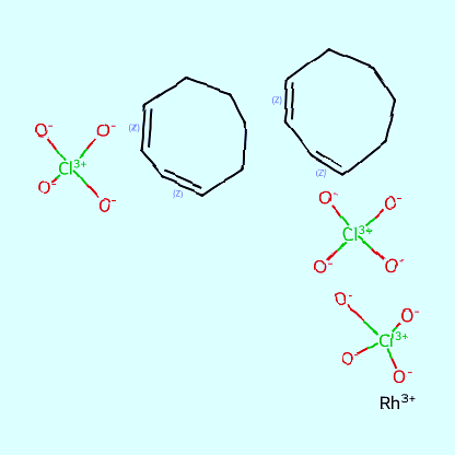 C1=C\CCCC\C=C/1.C1=C\CCCC\C=C/1.[O-][Cl+3]([O-])([O-])[O-].[O-][Cl+3]([O-])([O-])[O-].[O-][Cl+3]([O-])([O-])[O-].[Rh+3]